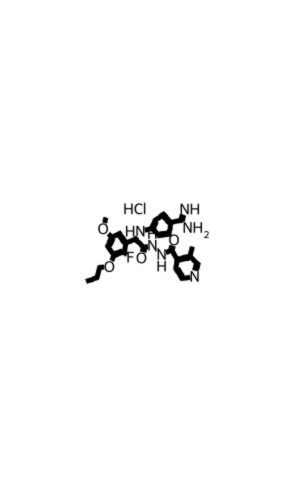 CCCOc1cc(OC)cc(C(Nc2ccc(C(=N)N)cc2)C(=O)NNC(=O)c2ccncc2C)c1F.Cl